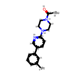 CC(C)c1cccc(-c2ccc(N3CCN(C(=O)C(C)(C)C)CC3)nc2)c1